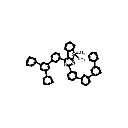 C[Si]1(C)c2ccccc2-c2c(-c3cccc(-c4cc(-c5ccccc5)cc(-c5ccccc5)c4)c3)nc(-c3cccc(-c4cccc(-c5cccc(-c6ccccc6)c5)c4)c3)nc21